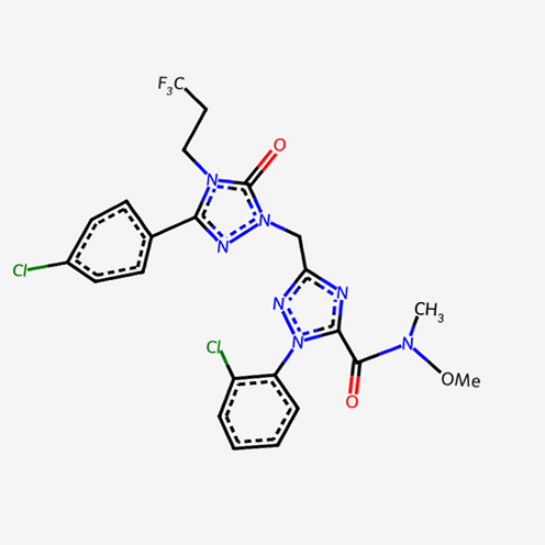 CON(C)C(=O)c1nc(Cn2nc(-c3ccc(Cl)cc3)n(CCC(F)(F)F)c2=O)nn1-c1ccccc1Cl